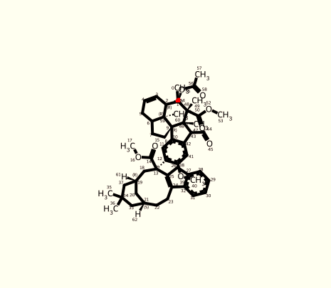 CC[C@]12C=CCC3CC[C@@]4(c5cc([C@@]6(C(=O)OC)C[C@@H]7C[C@H](CCC8=C6Cc6ccccc68)CC(C)(C)C7)c(OC)cc5C(C=O)[C@@]4(C)[C@@](C)(C(=O)OC)[C@@H]1OC(C)=O)[C@@]32C